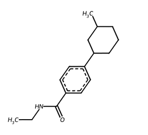 CCNC(=O)c1ccc(C2CCCC(C)C2)cc1